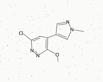 COc1nnc(Cl)cc1-c1cnn(C)c1